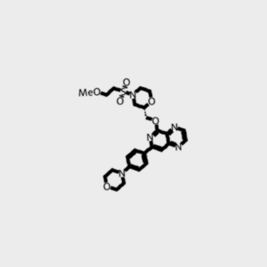 COCCS(=O)(=O)N1CCO[C@H](COc2nc(-c3ccc(N4CCOCC4)cc3)cc3nccnc23)C1